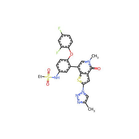 CCS(=O)(=O)Nc1ccc(Oc2ccc(F)cc2F)c(-c2cn(C)c(=O)c3cc(-n4cc(C)nn4)sc23)c1